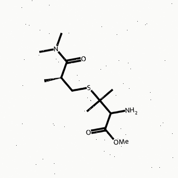 COC(=O)C(N)C(C)(C)SC[C@@H](C)C(=O)N(C)C